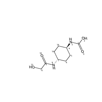 O=C(O)N[C@H]1CC[C@H](NC(=O)CO)CC1